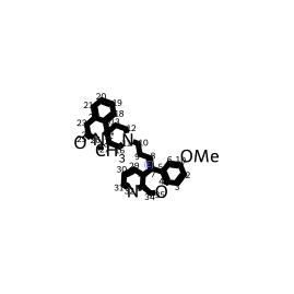 COc1ccc2c(c1)/C(=C/CCN1CCC3(CC1)c1ccccc1CC(=O)N3C)C1C=CC=NC1CO2